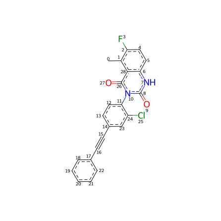 Cc1c(F)ccc2[nH]c(=O)n(-c3ccc(C#Cc4ccccc4)cc3Cl)c(=O)c12